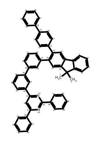 CC1(C)c2ccccc2-c2cc(-c3ccc(-c4ccccc4)cc3)c(-c3cccc(-c4cccc(-c5cc(-c6ccccc6)nc(-c6ccccc6)n5)c4)c3)cc21